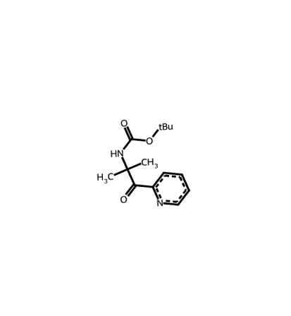 CC(C)(C)OC(=O)NC(C)(C)C(=O)c1ccccn1